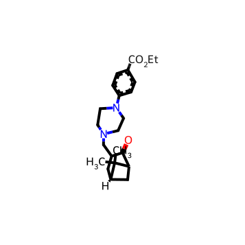 CCOC(=O)c1ccc(N2CCN(CC3C[C@H]4CC(C3=O)C4(C)C)CC2)cc1